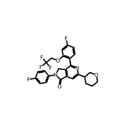 O=C1c2cc(C3CCCOC3)nc(-c3ccc(F)cc3OCC(F)(F)F)c2CN1c1ccc(F)cc1